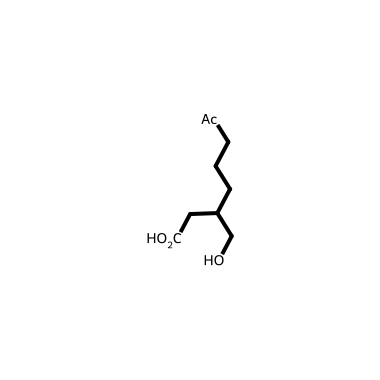 CC(=O)CCCC(CO)CC(=O)O